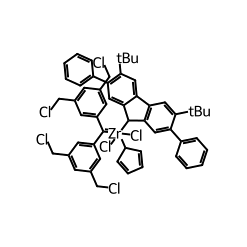 CC(C)(C)c1cc2c(cc1-c1ccccc1)[CH]([Zr]([Cl])([Cl])(=[C](c1cc(CCl)cc(CCl)c1)c1cc(CCl)cc(CCl)c1)[CH]1C=CC=C1)c1cc(-c3ccccc3)c(C(C)(C)C)cc1-2